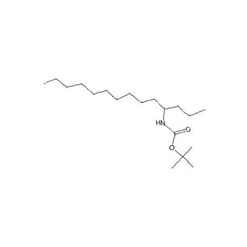 CCCCCCCCCC[C](CCC)NC(=O)OC(C)(C)C